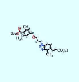 CCOC(=O)/C=C/c1ccc2c(nnn2CCCOCc2cc(C)c(C(=O)OC(C)(C)C)c(C)c2)c1C